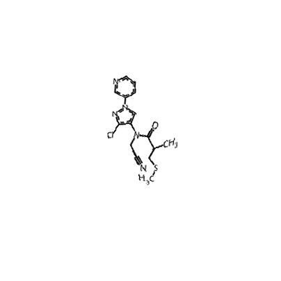 CSCC(C)C(=O)N(CC#N)c1cn(-c2cccnc2)nc1Cl